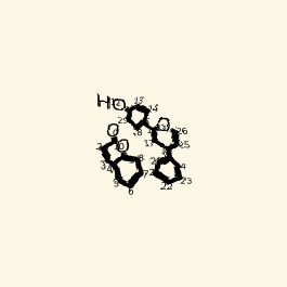 O=c1ccc2ccccc2o1.Oc1ccc(C2=CC(c3ccccc3)C=CO2)cc1